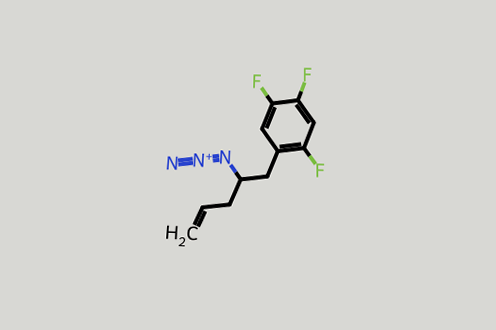 C=CCC(Cc1cc(F)c(F)cc1F)N=[N+]=[N-]